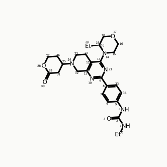 CCNC(=O)Nc1ccc(-c2nc3c(c(N4CCOC[C@@H]4CC)n2)CCN(C2CCOC(=O)C2)C3)cc1